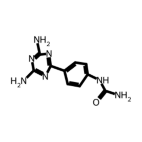 NC(=O)Nc1ccc(-c2nc(N)nc(N)n2)cc1